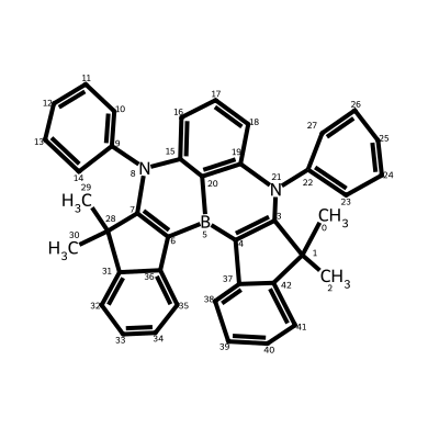 CC1(C)C2=C(B3C4=C(N(c5ccccc5)c5cccc(c53)N2c2ccccc2)C(C)(C)c2ccccc24)c2ccccc21